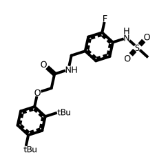 CC(C)(C)c1ccc(OCC(=O)NCc2ccc(NS(C)(=O)=O)c(F)c2)c(C(C)(C)C)c1